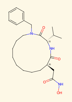 CC(C)[C@@H]1NC(=O)[C@@H](CC(=O)NO)CCCCCCCCN(Cc2ccccc2)C1=O